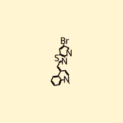 CN1C=C/C(=C\c2nc3ncc(Br)cc3s2)c2ccccc21